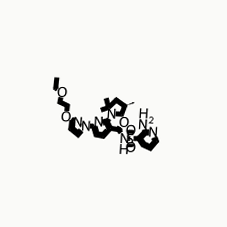 CCOCCOc1ccn(-c2ccc(C(=O)NS(=O)(=O)c3cccnc3N)c(N3C[C@@H](C)CC3(C)C)n2)n1